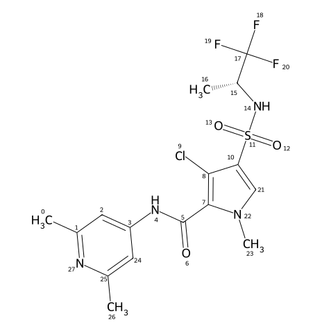 Cc1cc(NC(=O)c2c(Cl)c(S(=O)(=O)N[C@H](C)C(F)(F)F)cn2C)cc(C)n1